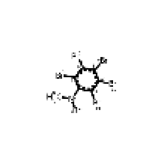 CN(Br)c1c(Br)c(Br)c(Br)c(Br)c1Br